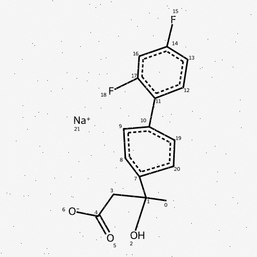 CC(O)(CC(=O)[O-])c1ccc(-c2ccc(F)cc2F)cc1.[Na+]